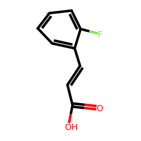 O=C(O)C=Cc1cc[c]cc1F